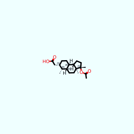 CC(=O)O[C@@]1(C)CC[C@H]2[C@@H]3CC[C@@H](CC(=O)O)[C@@H](C)[C@H]3CC[C@@]21C